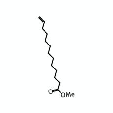 C=CCCCCCCCCCCC(=O)OC